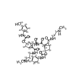 CNCCCNC(=O)C1C2CC(OC(=O)Nc3ccccc3)C(C2)C1C(=O)NC(=O)C1C2CC(CC2OC(=O)Nc2ccccc2)C1C(=O)NCCCNC.Cl